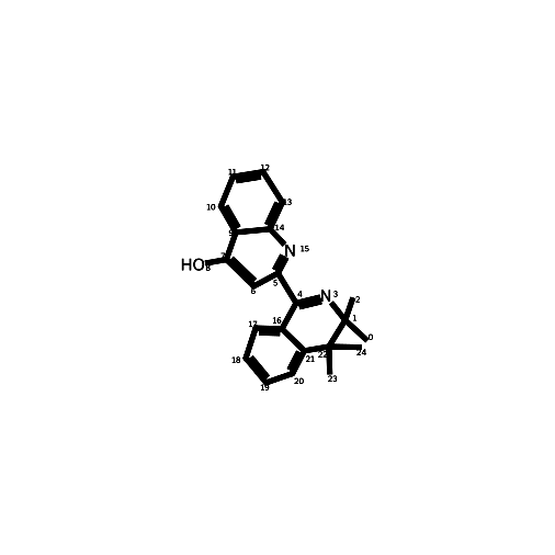 CC1(C)N=C(c2cc(O)c3ccccc3n2)c2ccccc2C1(C)C